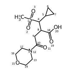 CS(=O)(=O)C(C1CC1)C(CC(=O)N1CCOCC1)C(=O)O